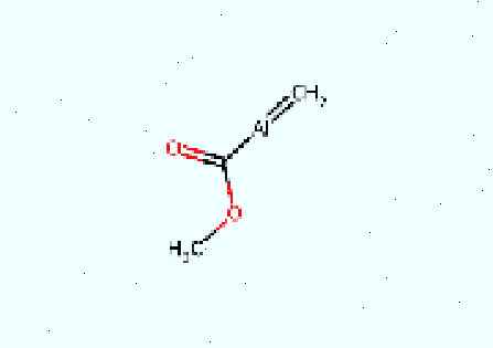 [CH2]=[Al][C](=O)OC